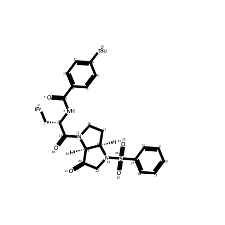 CC(C)C[C@H](NC(=O)c1ccc(C(C)(C)C)cc1)C(=O)N1CC[C@@H]2[C@H]1C(=O)CN2S(=O)(=O)c1ccccc1